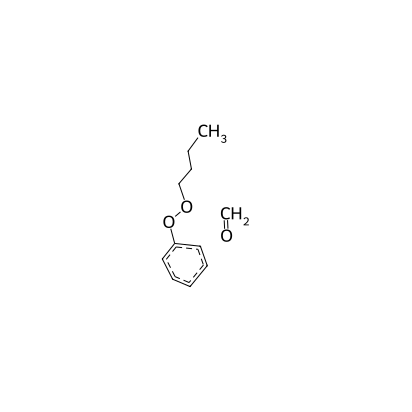 C=O.CCCCOOc1ccccc1